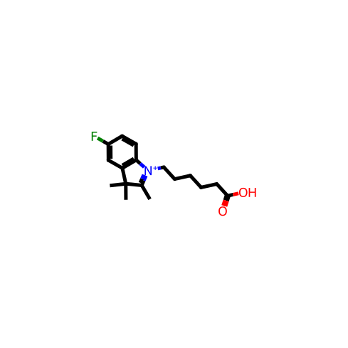 CC1=[N+](CCCCCC(=O)O)c2ccc(F)cc2C1(C)C